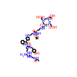 CCC(=O)NCCNC(=O)/N=C(/N)NCCC[C@@H](NC(=O)C(c1ccccc1)c1ccc(NCCNC(=O)[C@@H](CCCNC(=O)CN2CCN(CC(=O)O)CCN(CC(=O)O)CCN(CC(=O)O)CC2)NC(=O)OC(C)(C)C)cc1)C(=O)NCc1ccc(O)cc1